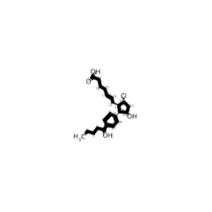 CCCCC(O)c1ccc([C@@H]2[C@@H](CC=CCCCC(=O)O)[C@H](Cl)C[C@H]2O)cc1